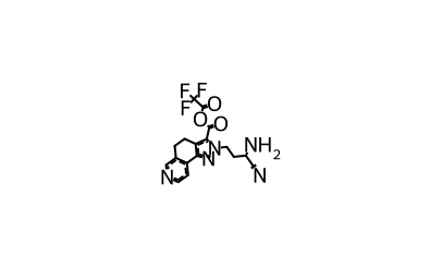 N#CC(N)CCn1nc2c(c1C(=O)OC(=O)C(F)(F)F)CCc1cnccc1-2